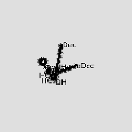 CCCCCCCCCCCCCCCCCCNC(=O)N(CCCCCCCCCCCCCCCCCC)[C@@H]1O[C@H](CO)[C@@H](O)[C@H](O)[C@@H]1NC(=O)OCc1ccccc1